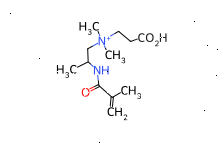 C=C(C)C(=O)NC(C)C[N+](C)(C)CCC(=O)O